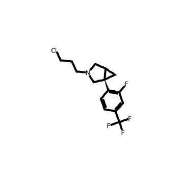 Fc1cc(C(F)(F)F)ccc1[C@]12CC1CN(CCCCl)C2